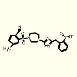 Cc1ccc(C#N)c(S(=O)(=O)N2CCCN(c3nc(Cc4ccccc4[N+](=O)[O-])ns3)CC2)c1